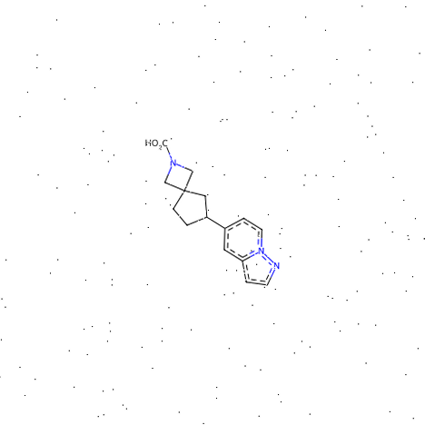 O=C(O)N1CC2(CCC(c3ccn4nccc4c3)C2)C1